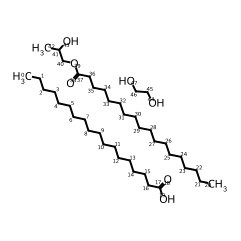 CCCCCCCCCCCCCCCCCC(=O)O.CCCCCCCCCCCCCCCCCC(=O)OCC(C)O.OCCO